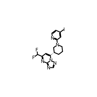 FC(F)c1cc([C@H]2CCCN(c3cc(I)ccn3)C2)n2ncnc2n1